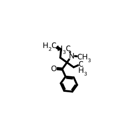 C=CCC(CC)(C(=O)c1ccccc1)N(C)C